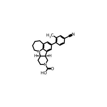 Cc1cc(C#N)ccc1-c1cc2c3c(c1)[C@@H]1CN(C(=O)O)CC[C@@H]1N3CCCC2